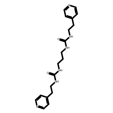 O=C(NCCCNC(=O)NCCc1ccncc1)NCCc1ccncc1